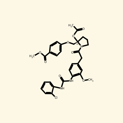 COC(=O)c1ccc(OC[C@@]2(OC(C)=O)CCCN2C(=O)Cc2ccc(NC(=O)Nc3ccccc3Cl)c(OC)c2)cc1